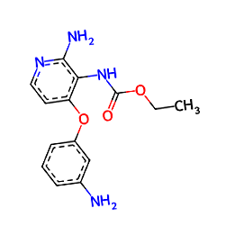 CCOC(=O)Nc1c(Oc2cccc(N)c2)ccnc1N